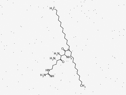 CCCCCCCCCCCCCCN(CCCCCCCCCCCC)C(=O)C(N)C(N)C(=O)[C@@H](N)CCCNC(=N)N